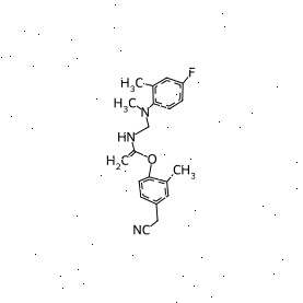 C=C(NCN(C)c1ccc(F)cc1C)Oc1ccc(CC#N)cc1C